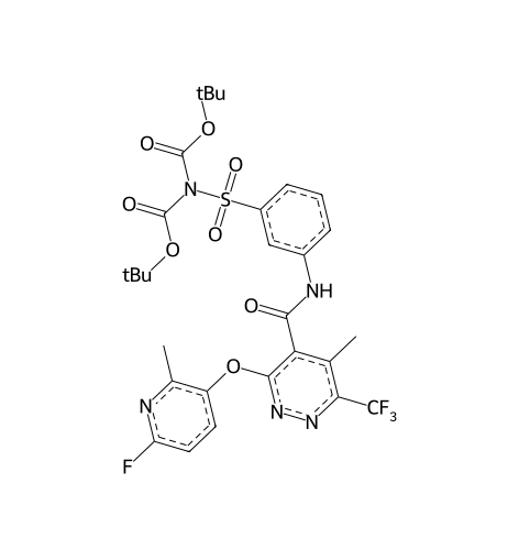 Cc1nc(F)ccc1Oc1nnc(C(F)(F)F)c(C)c1C(=O)Nc1cccc(S(=O)(=O)N(C(=O)OC(C)(C)C)C(=O)OC(C)(C)C)c1